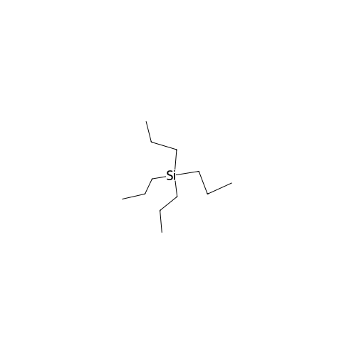 CCC[Si](CCC)(CCC)CCC